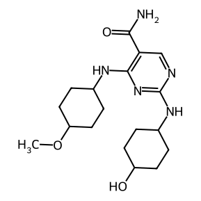 COC1CCC(Nc2nc(NC3CCC(O)CC3)ncc2C(N)=O)CC1